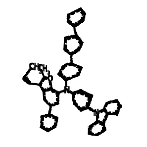 C/C=C\c1c(C)oc2c(N(c3ccc(-c4ccc(-c5ccccc5)cc4)cc3)c3ccc(-n4c5ccccc5c5ccccc54)cc3)cc(-c3ccccc3)cc12